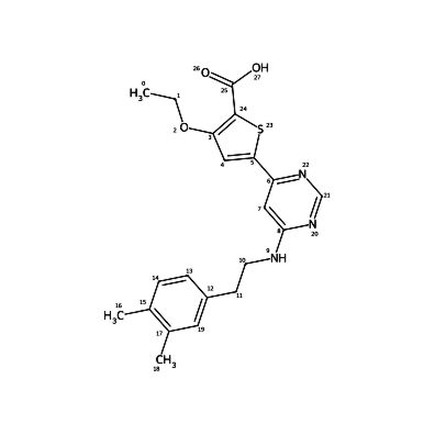 CCOc1cc(-c2cc(NCCc3ccc(C)c(C)c3)ncn2)sc1C(=O)O